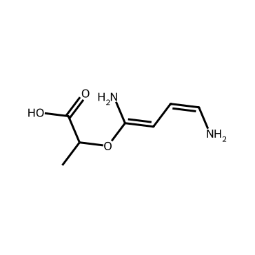 CC(O/C(N)=C/C=C\N)C(=O)O